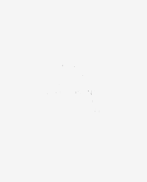 COc1ccccc1SN=C=O